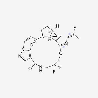 C=C1/C(=N\C=C(/C)F)OCC(F)(F)CNC(=O)c2cnn3ccc(nc23)N2CC[C@H]3C[C@]132